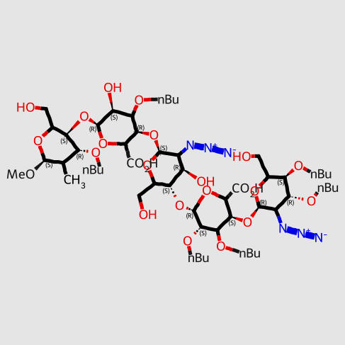 CCCCOC1[C@@H](O[C@@H]2OC(CO)[C@@H](O[C@@H]3OC(C(=O)O)[C@@H](O[C@H]4OC(CO)[C@@H](OCCCC)[C@H](OCCCC)C4N=[N+]=[N-])C(OCCCC)[C@@H]3OCCCC)[C@H](O)C2N=[N+]=[N-])C(C(=O)O)O[C@@H](O[C@@H]2C(CO)O[C@H](OC)C(C)[C@H]2OCCCC)[C@H]1O